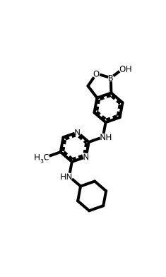 Cc1cnc(Nc2ccc3c(c2)COB3O)nc1NC1CCCCC1